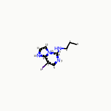 CCCNc1ncc(I)c2nccn12